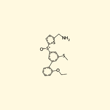 CCOc1ccccc1-c1cc(SC)cc([S+]([O-])c2ccc(CN)s2)c1